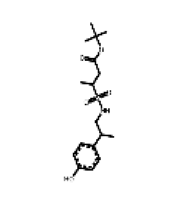 CC(CNS(=O)(=O)C(C)CC(=O)OC(C)(C)C)c1ccc(O)cc1